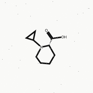 O=C(O)[C@@H]1CCCCN1C1CC1